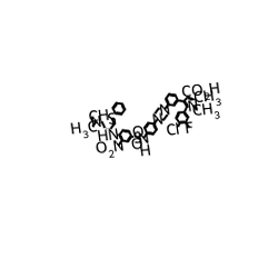 Cc1c(C(=O)O)c(-c2cccc(N3CCN(c4ccc(NS(=O)(=O)c5ccc(N[C@H](CCN(C)C)CSc6ccccc6)c([N+](=O)[O-])c5)cc4)CC3)c2)c(-c2ccc(Cl)c(F)c2)n1C